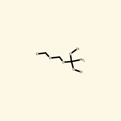 CCOC(P)(OCC)OCOCCl